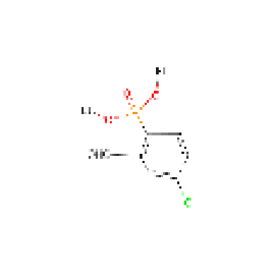 CCOP(=O)(OCC)c1ccc(Cl)cc1C=O